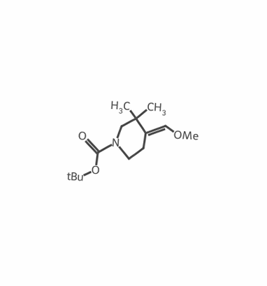 COC=C1CCN(C(=O)OC(C)(C)C)CC1(C)C